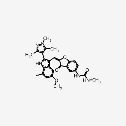 CNC(=O)Nc1ccc2c(c1)C(=O)C(=Cc1c(-c3c(C)nn(C)c3C)[nH]c3c(F)cc(OC)cc13)O2